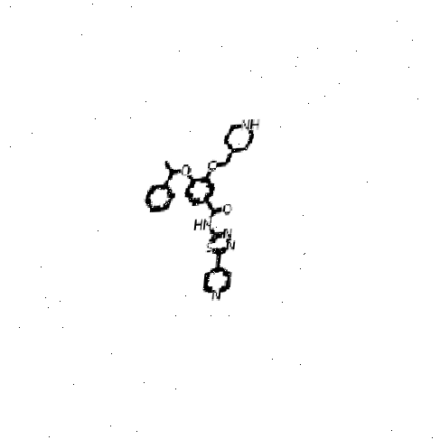 CC(Oc1ccc(C(=O)Nc2nnc(-c3ccncc3)s2)cc1OCC1CCNCC1)c1ccccc1